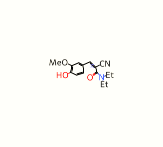 CCN(CC)C(=O)/C(C#N)=C\c1ccc(O)c(OC)c1